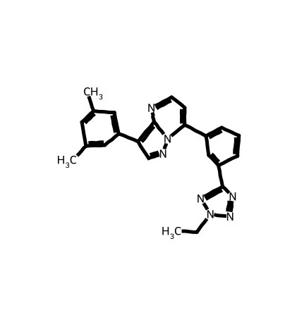 CCn1nnc(-c2cccc(-c3ccnc4c(-c5cc(C)cc(C)c5)cnn34)c2)n1